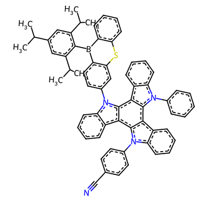 CC(C)c1cc(C(C)C)c(B2c3ccccc3Sc3cc(-n4c5ccccc5c5c6c(c7ccccc7n6-c6ccc(C#N)cc6)c6c(c7ccccc7n6-c6ccccc6)c54)ccc32)c(C(C)C)c1